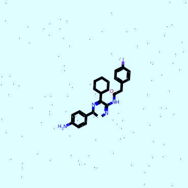 C/N=C(NC(=O)Cc1ccc(I)cc1)\C(=N/C(C)c1ccc(N)cc1)C1CCCCC1